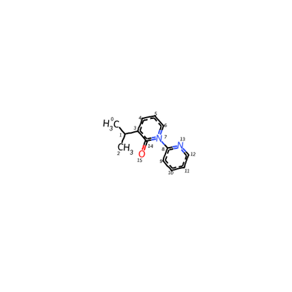 CC(C)c1cccn(-c2ccccn2)c1=O